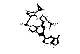 Cc1c[nH]c2ncc(-c3cc4c(c(C5CCCN5C(=O)O)c3)CN(C(=O)c3cnn(C5CC5)c3C)CC4)cc12